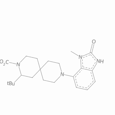 Cn1c(=O)[nH]c2cccc(N3CCC4(CC3)CCN(C(=O)O)C(C(C)(C)C)C4)c21